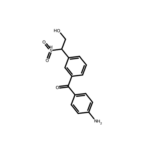 Nc1ccc(C(=O)c2cccc(C(CO)[SH](=O)=O)c2)cc1